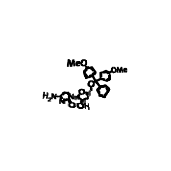 COc1ccc(C(OC[C@@H]2C[C@@H](O)[C@H](n3ccc(N)nc3=O)O2)(c2ccccc2)c2ccc(OC)cc2)cc1